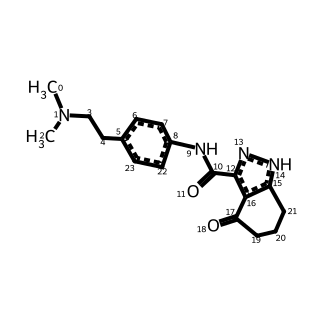 CN(C)CCc1ccc(NC(=O)c2n[nH]c3c2C(=O)CCC3)cc1